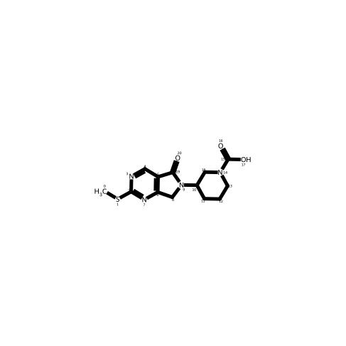 CSc1ncc2c(n1)CN(C1CCCN(C(=O)O)C1)C2=O